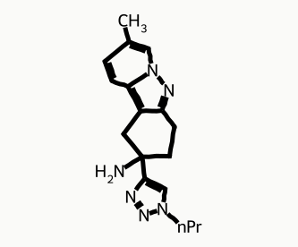 CCCn1cc(C2(N)CCc3nn4cc(C)ccc4c3C2)nn1